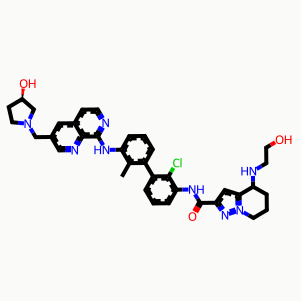 Cc1c(Nc2nccc3cc(CN4CC[C@@H](O)C4)cnc23)cccc1-c1cccc(NC(=O)c2cc3n(n2)CCCC3NCCO)c1Cl